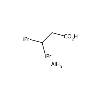 CC(C)C(CC(=O)O)C(C)C.[AlH3]